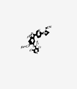 COc1cc2[nH]nc(-c3ccc(N4CC[C@H]4CC#N)nc3)c2cc1O[C@H](C)c1c(Cl)cncc1Cl